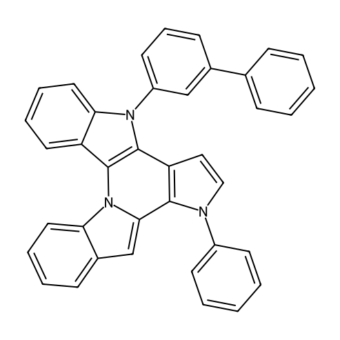 c1ccc(-c2cccc(-n3c4ccccc4c4c3c3ccn(-c5ccccc5)c3c3cc5ccccc5n34)c2)cc1